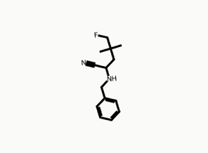 CC(C)(CF)CC(C#N)NCc1ccccc1